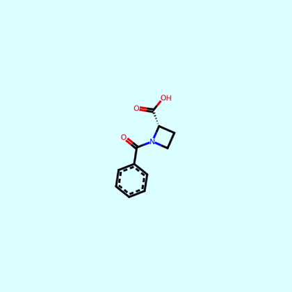 O=C(O)[C@@H]1CCN1C(=O)c1ccccc1